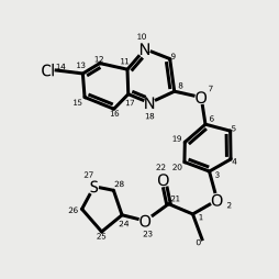 CC(Oc1ccc(Oc2cnc3cc(Cl)ccc3n2)cc1)C(=O)OC1CCSC1